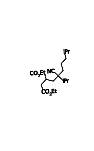 CCOC(=O)CC(CC(C#N)(CCCC(C)C)C(C)C)C(=O)OCC